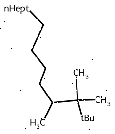 CCCCCCCCCCCC(C)C(C)(C)C(C)(C)C